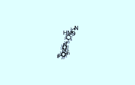 N#CCC(=O)N[C@H]1CC[C@H](CCN2CCN(c3cc(F)ccc3F)CC2)CC1